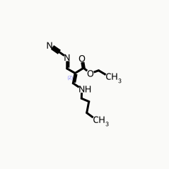 CCCCN/C=C(/C=NC#N)C(=O)OCC